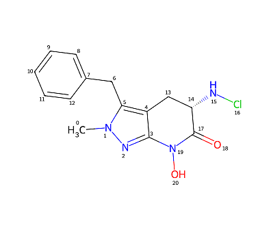 Cn1nc2c(c1Cc1ccccc1)C[C@H](NCl)C(=O)N2O